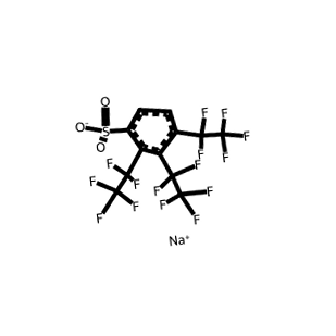 O=S(=O)([O-])c1ccc(C(F)(F)C(F)(F)F)c(C(F)(F)C(F)(F)F)c1C(F)(F)C(F)(F)F.[Na+]